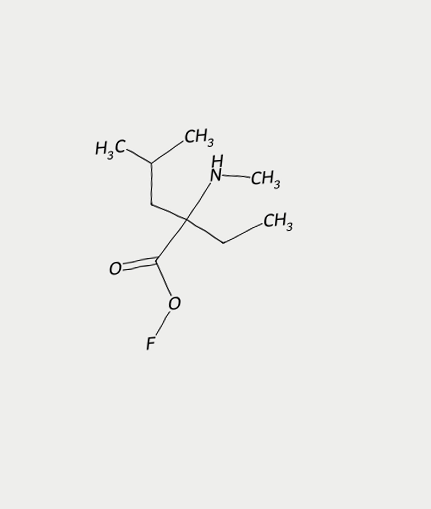 CCC(CC(C)C)(NC)C(=O)OF